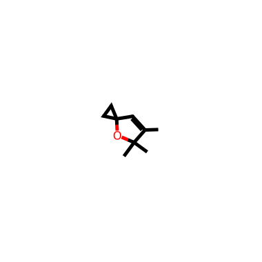 CC1=CC2(CC2)OC1(C)C